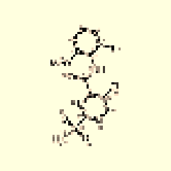 COc1cccc(F)c1NC(=O)c1nc(S(C)(=O)=O)ncc1Cl